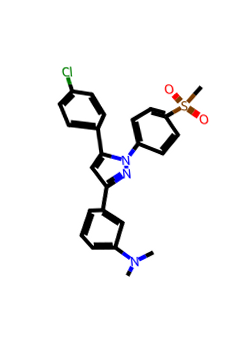 CN(C)c1cccc(-c2cc(-c3ccc(Cl)cc3)n(-c3ccc(S(C)(=O)=O)cc3)n2)c1